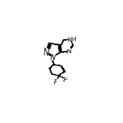 FC1(F)CCC(n2ncc3c2N=CNC3)CC1